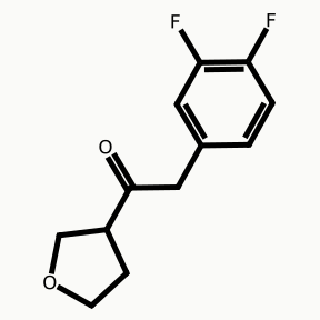 O=C(Cc1ccc(F)c(F)c1)C1CCOC1